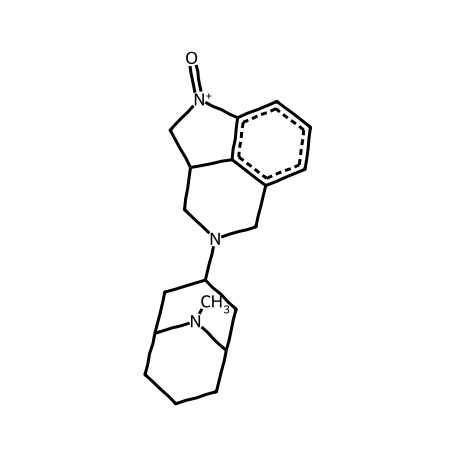 CN1C2CCCC1CC(N1Cc3cccc4c3C(C1)C[N+]4=O)C2